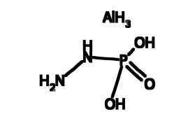 NNP(=O)(O)O.[AlH3]